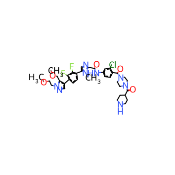 COCCn1ncc(-c2ccc(-c3cnc(C(=O)Nc4ccc(C(=O)N5CCN(C(=O)C6CCNCC6)CC5)c(Cl)c4)n3C)c(F)c2F)c1COC